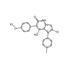 CCOc1ccc(-c2c(O)c3c(cc(Cl)n3-c3ccc(C)cc3)[nH]c2=O)cc1